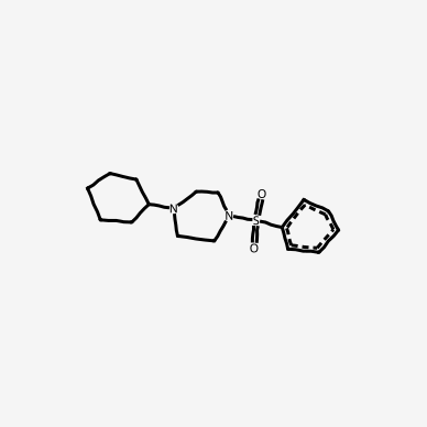 O=S(=O)(c1ccccc1)N1CCN(C2CCCCC2)CC1